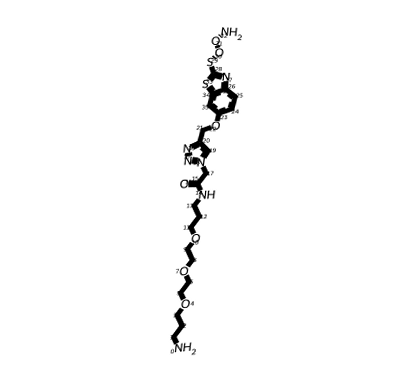 NCCCOCCOCCOCCCNC(=O)Cn1cc(COc2ccc3nc(SOON)sc3c2)nn1